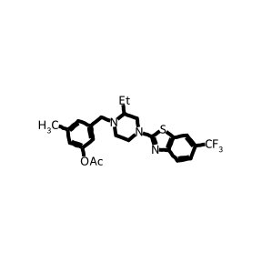 CCC1CN(c2nc3ccc(C(F)(F)F)cc3s2)CCN1Cc1cc(C)cc(OC(C)=O)c1